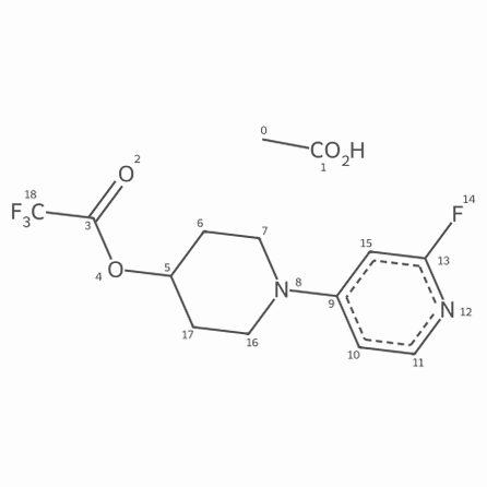 CC(=O)O.O=C(OC1CCN(c2ccnc(F)c2)CC1)C(F)(F)F